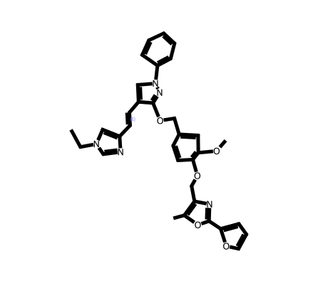 CCn1cnc(/C=C/c2cn(-c3ccccc3)nc2OCc2ccc(OCc3nc(-c4ccco4)oc3C)c(OC)c2)c1